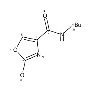 CCCCNC(=O)c1coc([O])n1